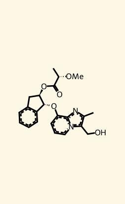 CO[C@@H](C)C(=O)O[C@@H]1Cc2ccccc2[C@H]1Oc1cccn2c(CO)c(C)nc12